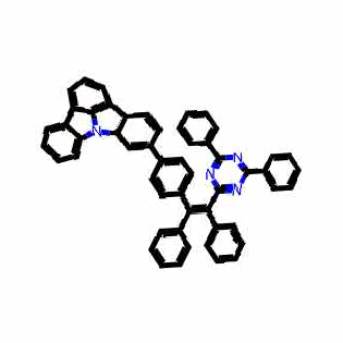 C1=CC2c3cccc4c5ccccc5n(c34)C2C=C1c1ccc(/C(=C(/c2ccccc2)c2nc(-c3ccccc3)nc(-c3ccccc3)n2)c2ccccc2)cc1